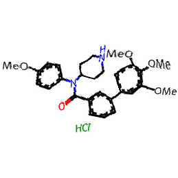 COc1ccc(N(C(=O)c2cccc(-c3cc(OC)c(OC)c(OC)c3)c2)C2CCNCC2)cc1.Cl